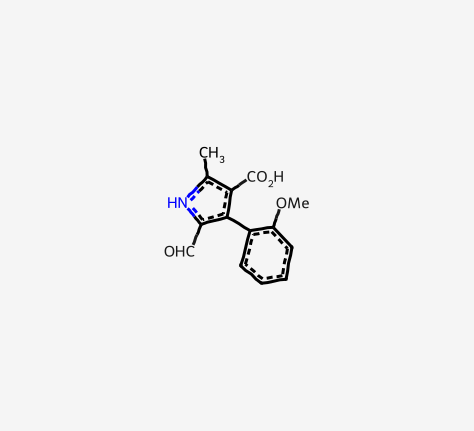 COc1ccccc1-c1c(C=O)[nH]c(C)c1C(=O)O